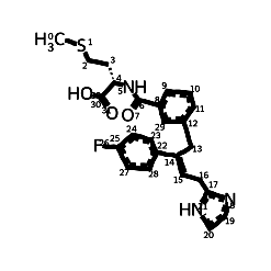 CSCC[C@H](NC(=O)c1cccc(C/C(=C\Cc2ncc[nH]2)c2ccc(F)cc2)c1)C(=O)O